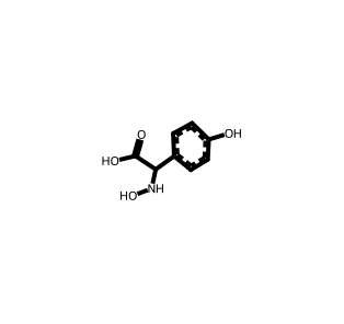 O=C(O)C(NO)c1ccc(O)cc1